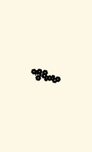 CC1(C)c2cc3c(cc2-c2c1cc(N(c1ccccc1)c1cccc4c1oc1ccccc14)c1ccccc21)C(C)(C)c1c-3ccc2ccccc12